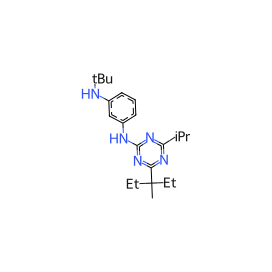 CCC(C)(CC)c1nc(Nc2cccc(NC(C)(C)C)c2)nc(C(C)C)n1